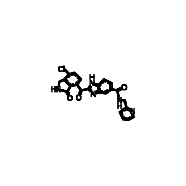 O=C(NCc1ccccn1)c1ccc2[nH]c(C(=O)c3ccc(Cl)c4c3C(=O)NC4)nc2c1